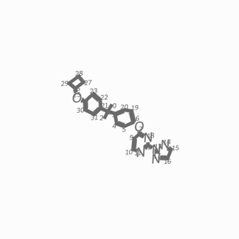 CC(C)(c1ccc(Oc2ccnc(-n3nccn3)n2)cc1)c1ccc(OC2CCC2)cc1